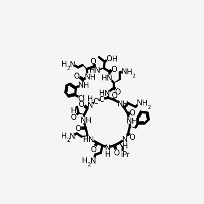 CC(C)C[C@@H]1NC(=O)[C@@H](Cc2ccccc2)NC(=O)C(CCN)NC(=O)C(NC(=O)[C@H](CCN)NC(=O)[C@@H](NC(=O)[C@H](CCN)NC(=O)Nc2ccccc2Cl)C(C)O)CCNC(=O)[C@H](C(C)O)NC(=O)[C@H](CCN)NC(=O)C(CCN)NC1=O